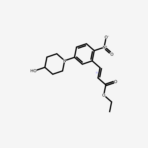 CCOC(=O)/C=C/c1cc(N2CCC(O)CC2)ccc1[N+](=O)[O-]